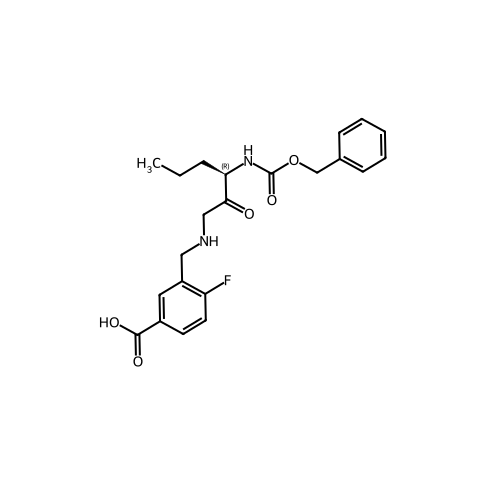 CCC[C@@H](NC(=O)OCc1ccccc1)C(=O)CNCc1cc(C(=O)O)ccc1F